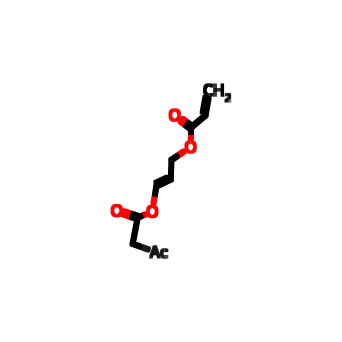 C=CC(=O)OCC=COC(=O)CC(C)=O